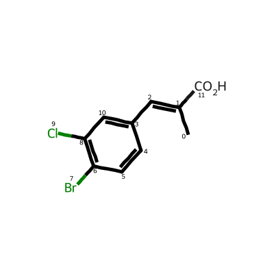 CC(=Cc1ccc(Br)c(Cl)c1)C(=O)O